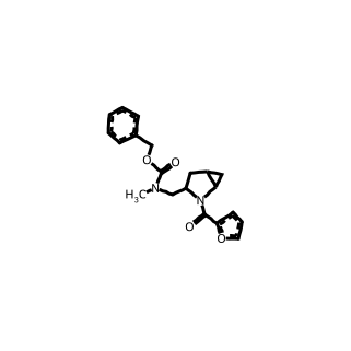 CN(CC1CC2CC2N1C(=O)c1ccco1)C(=O)OCc1ccccc1